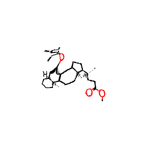 COC(=O)CC[C@@H](C)C1CCC2C3C(O[Si](C)(C)C)=C[C@@H]4CCCC[C@]4(C)C3CC[C@@]21C